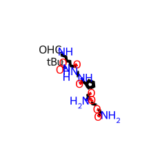 CC(C)(C)OC(=O)NC(CCCCNC=O)C(=O)NCCNC(=O)c1cccc(OCC(N)OCCOCC(N)=O)c1